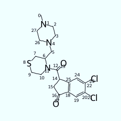 CN1CCN(CC2CSCCN2C(=O)C2CC(=O)c3cc(Cl)c(Cl)cc32)CC1